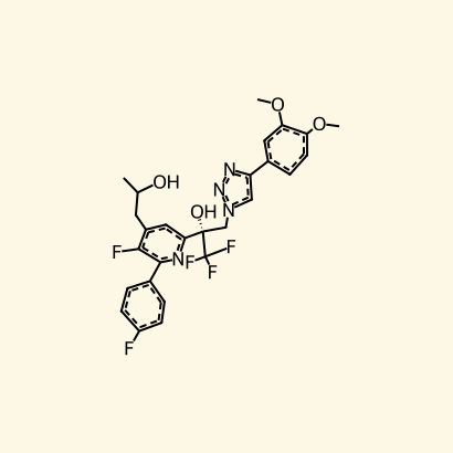 COc1ccc(-c2cn(C[C@](O)(c3cc(CC(C)O)c(F)c(-c4ccc(F)cc4)n3)C(F)(F)F)nn2)cc1OC